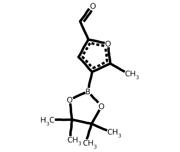 Cc1oc(C=O)cc1B1OC(C)(C)C(C)(C)O1